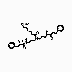 CCCCCCCCCCCCCCCC(=O)N(CCCNC(=O)CCc1ccccc1)CCCNC(=O)[C@@H](N)Cc1ccccc1